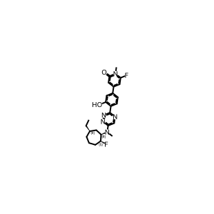 CC[C@@H]1CCC[C@H](F)[C@H](N(C)c2cnc(-c3ccc(-c4cc(F)n(C)c(=O)c4)cc3O)nn2)C1